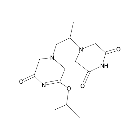 CC(C)OC1=NC(=O)CN(CC(C)N2CC(=O)NC(=O)C2)C1